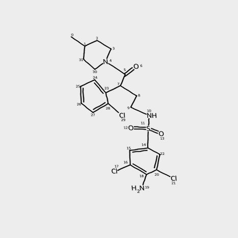 CC1CCN(C(=O)C(CCNS(=O)(=O)c2cc(Cl)c(N)c(Cl)c2)c2ccccc2Cl)CC1